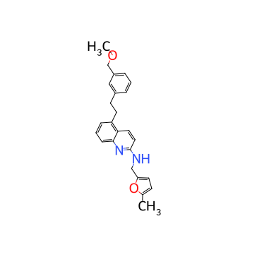 COCc1cccc(CCc2cccc3nc(NCc4ccc(C)o4)ccc23)c1